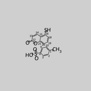 Cc1ccc(S(=O)(=O)O)cc1.O=c1ccc2c(S)cccc2o1